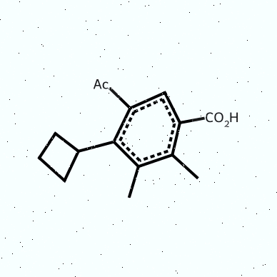 CC(=O)c1cc(C(=O)O)c(C)c(C)c1C1CCC1